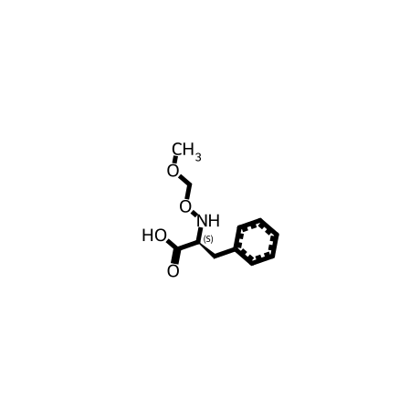 COCON[C@@H](Cc1ccccc1)C(=O)O